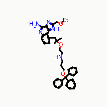 CCOCc1nc2c(N)nc3cccc(CC(C)(C)OCCNCCCOC(c4ccccc4)(c4ccccc4)c4ccccc4)c3c2[nH]1